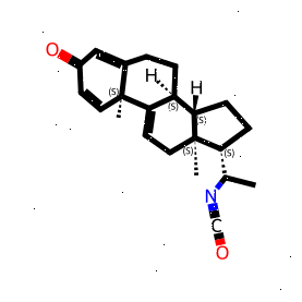 CC(N=C=O)[C@H]1CC[C@H]2[C@@H]3CCC4=CC(=O)C=C[C@]4(C)C3=CC[C@]12C